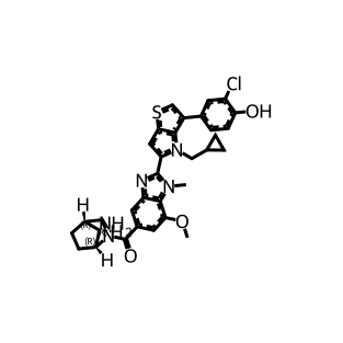 COc1cc(C(=O)N2C[C@H]3CC[C@@H]2[C@@H]3N)cc2nc(-c3cc4scc(-c5ccc(O)c(Cl)c5)c4n3CC3CC3)n(C)c12